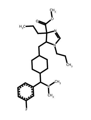 CCCN1C=NC(CCC)(C(=O)OC)C1CC1CCC(C(c2cccc(F)c2)N(C)C)CC1